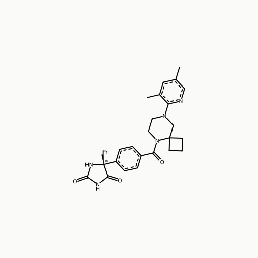 Cc1cnc(N2CCN(C(=O)c3ccc([C@@]4(C(C)C)NC(=O)NC4=O)cc3)C3(CCC3)C2)c(C)c1